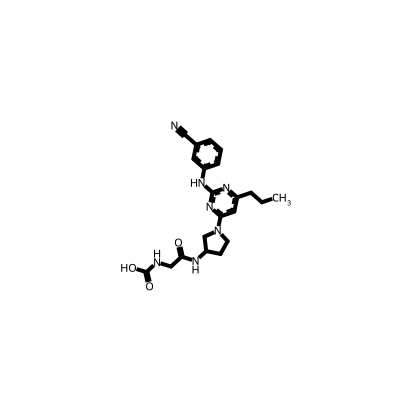 CCCc1cc(N2CCC(NC(=O)CNC(=O)O)C2)nc(Nc2cccc(C#N)c2)n1